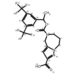 CC(OC(=O)N1CCCn2nc(C(=O)O)cc2C1)c1cc(C(F)(F)F)cc(C(F)(F)F)c1